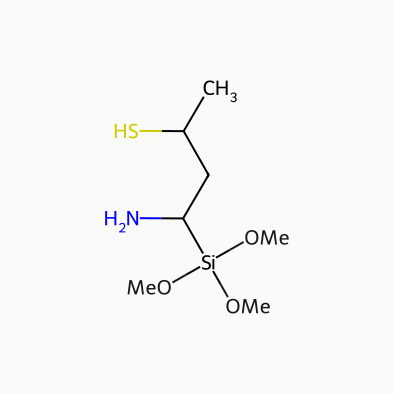 CO[Si](OC)(OC)C(N)CC(C)S